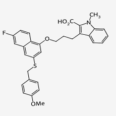 COc1ccc(CSc2cc(OCCCc3c(C(=O)O)n(C)c4ccccc34)c3ccc(F)cc3c2)cc1